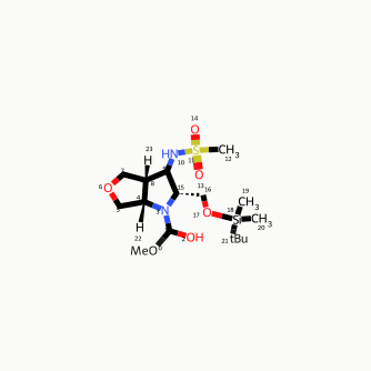 COC(O)N1[C@@H]2COC[C@@H]2C(NS(C)(=O)=O)[C@@H]1CO[Si](C)(C)C(C)(C)C